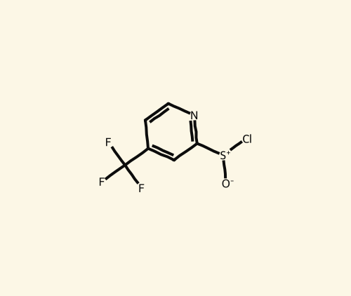 [O-][S+](Cl)c1cc(C(F)(F)F)ccn1